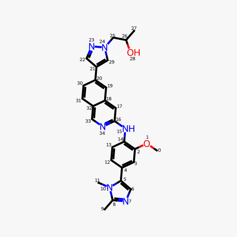 COc1cc(-c2cnc(C)n2C)ccc1Nc1cc2cc(-c3cnn(CC(C)O)c3)ccc2cn1